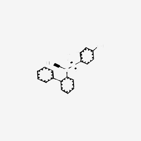 C#CN(c1ccccc1-c1ccccc1)S(=O)(=O)c1ccc(C)cc1